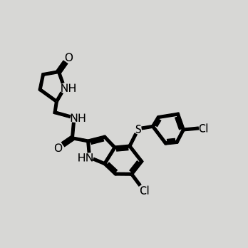 O=C1CCC(CNC(=O)c2cc3c(Sc4ccc(Cl)cc4)cc(Cl)cc3[nH]2)N1